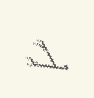 C=C=C=CC(CCCC)CC(=O)OCCCCCCCCCCC(CCCCCCCCCCOC(=O)CC(C)CCCC)COCCCN1CCCC1